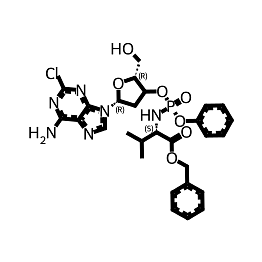 CC(C)[C@H](NP(=O)(Oc1ccccc1)OC1C[C@H](n2cnc3c(N)nc(Cl)nc32)O[C@@H]1CO)C(=O)OCc1ccccc1